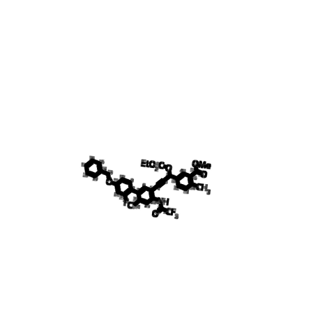 CCOC(=O)OC(C#Cc1cc(-c2ccc(OCc3ccccc3)cc2F)c(Cl)cc1NC(=O)C(F)(F)F)c1ccc(C)c(C(=O)OC)c1